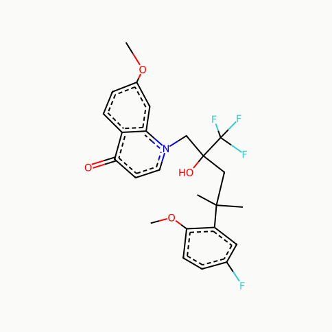 COc1ccc2c(=O)ccn(CC(O)(CC(C)(C)c3cc(F)ccc3OC)C(F)(F)F)c2c1